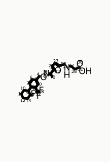 C/C(=N\OCc1ccc(C2CCCCC2)c(C(F)(F)F)c1)c1ccc(CNCCC(=O)O)o1